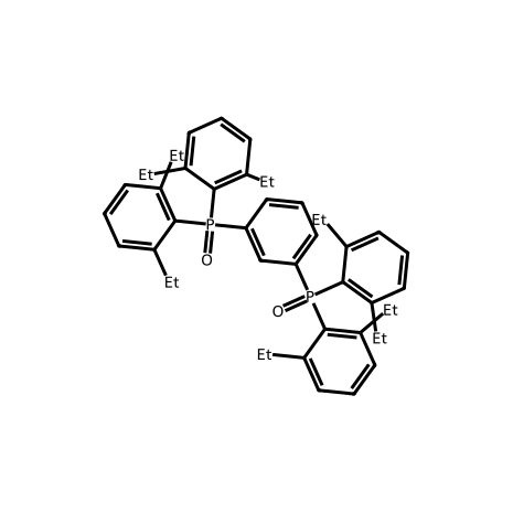 CCc1cccc(CC)c1P(=O)(c1cccc(P(=O)(c2c(CC)cccc2CC)c2c(CC)cccc2CC)c1)c1c(CC)cccc1CC